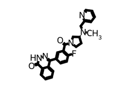 CN(Cc1ccccn1)[C@@H]1CCN(C(=O)c2cc(-c3n[nH]c(=O)c4ccccc34)ccc2F)C1